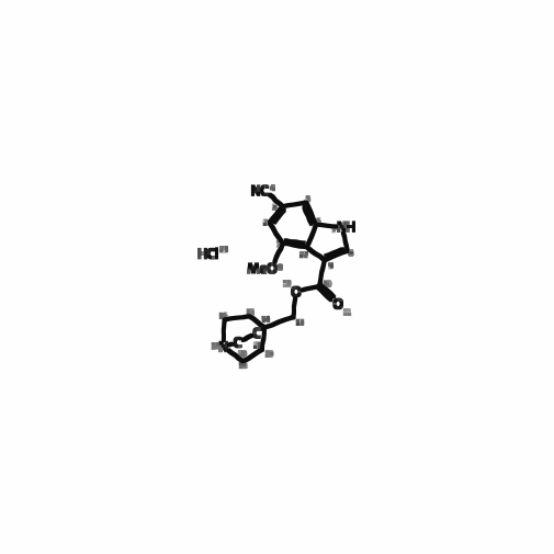 COc1cc(C#N)cc2[nH]cc(C(=O)OCC34CCN(CC3)CC4)c12.Cl